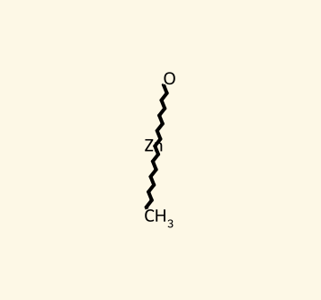 CCCCCCCCCCCCCCCCCC=O.[Zn]